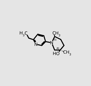 CCc1ccc(N2C[C@](C)(O)CC[C@@H]2C)cn1